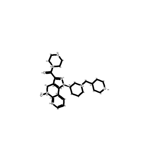 O=C(c1nn([C@@H]2CCCN(CC3CCOCC3)C2)c2c1C[S+]([O-])c1ncccc1-2)N1CCOCC1